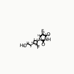 O=c1[nH]c(=O)n([C@@H]2C[C@H](CCO)C2F)cc1F